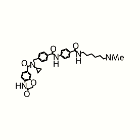 CNCCCCCCNC(=O)c1ccc(NC(=O)c2ccc(CN(C(=O)c3ccc4c(c3)OCC(=O)N4)C3CC3)cc2)cc1